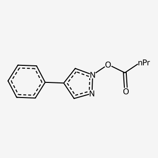 CCCC(=O)On1cc(-c2ccccc2)cn1